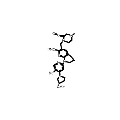 CO[C@H]1CCN(c2cc(N3CCCc4cc(CN5CCN(C)CC5=C=O)c(C=O)nc43)ncc2C#N)C1